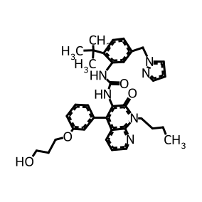 CCCCn1c(=O)c(NC(=O)Nc2cc(Cn3cccn3)ccc2C(C)(C)C)c(-c2cccc(OCCCO)c2)c2cccnc21